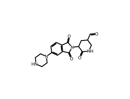 O=CC1CNC(=O)C(N2C(=O)c3ccc(N4CCNCC4)cc3C2=O)C1